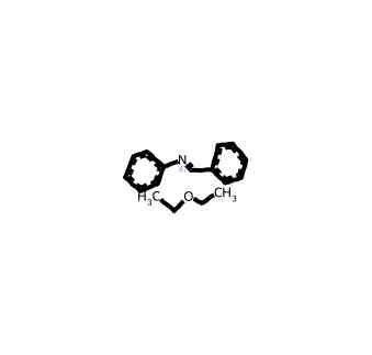 C(=N\c1ccccc1)/c1ccccc1.CCOCC